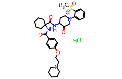 CS(=O)(=O)c1ccccc1N1CCC(NC(=O)C2(NC(=O)c3ccc(OCCN4CCCCC4)cc3)CCCCC2)C(=O)C1.Cl